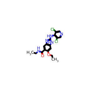 CCNC(=O)c1cc2nc(Nc3c(Cl)cncc3Cl)[nH]c2cc1OCC